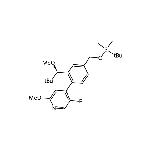 COc1cc(-c2ccc(CO[Si](C)(C)C(C)(C)C)cc2[C@H](OC)C(C)(C)C)c(F)cn1